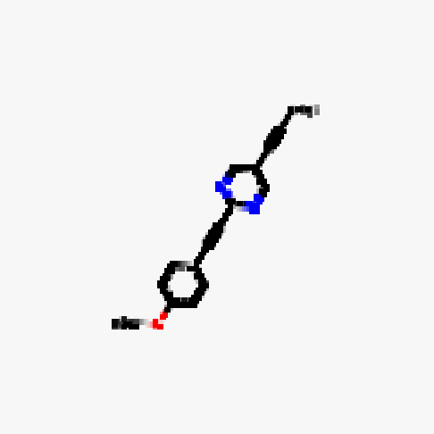 CCCCCCCC#Cc1cnc(C#Cc2ccc(OCCCCCCCC)cc2)nc1